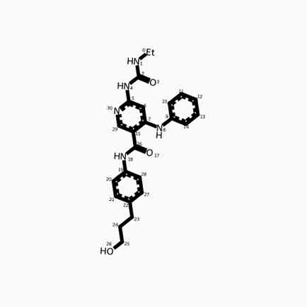 CCNC(=O)Nc1cc(Nc2ccccc2)c(C(=O)Nc2ccc(CCCO)cc2)cn1